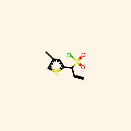 C=CC(c1cc(C)cs1)S(=O)(=O)Cl